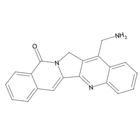 NCc1c2c(nc3ccccc13)-c1cc3ccccc3c(=O)n1C2